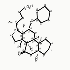 C[C@H](CCC(=O)O)[C@H]1CC[C@H]2[C@@H]3C(=O)C[C@@H]4CCCC[C@]4(C)[C@H]3C[C@H](OC3CCCCO3)[C@]12C